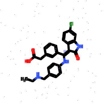 CCNCc1ccc(N/C(=C2\C(=O)Nc3cc(Cl)ccc32)c2cccc(CC(=O)O)c2)cc1